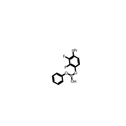 CCCc1ccc(OB(O)Oc2ccccc2)c(F)c1F